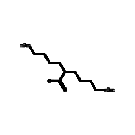 CCCCCCCCCCCCCCC(CCCCCCCCCCCCCC)C([O])=O